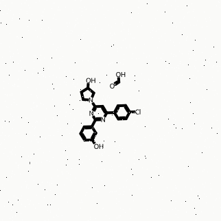 O=CO.Oc1cccc(-c2nc(-c3ccc(Cl)cc3)cc(N3CCC(O)C3)n2)c1